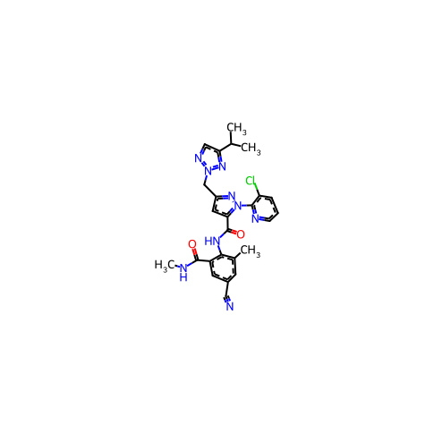 CNC(=O)c1cc(C#N)cc(C)c1NC(=O)c1cc(Cn2ncc(C(C)C)n2)nn1-c1ncccc1Cl